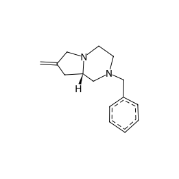 C=C1C[C@H]2CN(Cc3ccccc3)CCN2C1